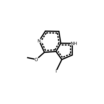 COc1nccc2[nH]cc(I)c12